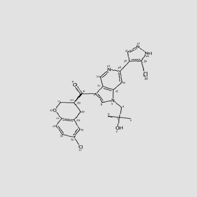 CC(C)(O)Cn1cc(C(=O)[C@@H]2COc3ccc(Cl)cc3C2)c2cnc(-c3cn[nH]c3Cl)cc21